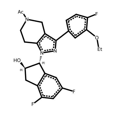 CCOc1cc(-c2nn([C@@H]3c4cc(F)cc(F)c4C[C@H]3O)c3c2CN(C(C)=O)CC3)ccc1F